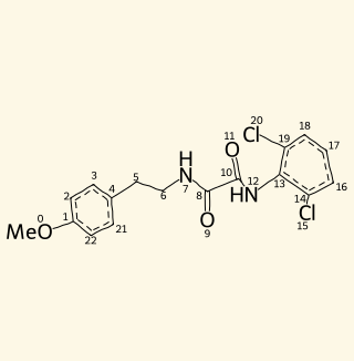 COc1ccc(CCNC(=O)C(=O)Nc2c(Cl)cccc2Cl)cc1